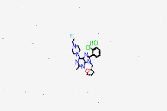 Cc1nc(N2CCN(CCF)CC2)c2nc(-c3ccccc3Cl)n(C[C@H]3CCCO3)c2n1.Cl